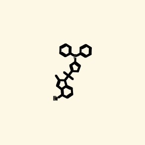 CC1=Cc2c(Br)cccc2C1C(C)(C)C1=CC(P(c2ccccc2)c2ccccc2)=CC1